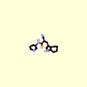 N#C/C(=C/c1c[nH]c2ccccc12)C(=O)Nc1cccnc1